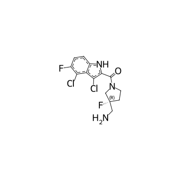 NC[C@]1(F)CCN(C(=O)c2[nH]c3ccc(F)c(Cl)c3c2Cl)C1